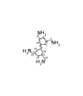 NCc1cc(CN)cc(-c2cc(CN)cc(CN)c2)c1